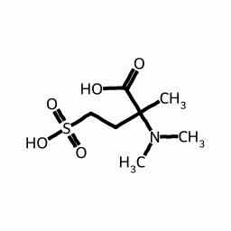 CN(C)C(C)(CCS(=O)(=O)O)C(=O)O